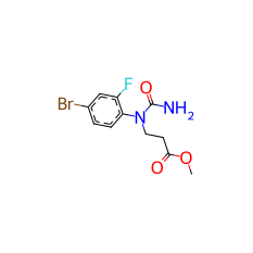 COC(=O)CCN(C(N)=O)c1ccc(Br)cc1F